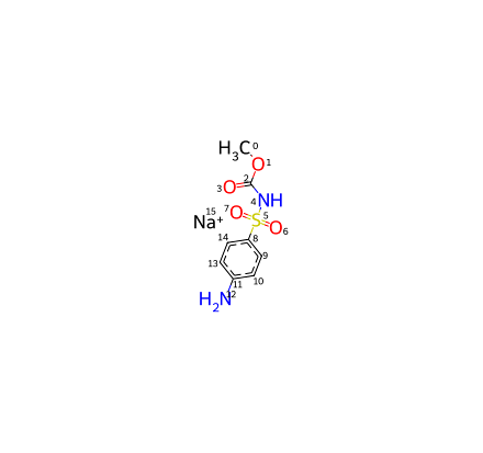 COC(=O)NS(=O)(=O)c1ccc(N)cc1.[Na+]